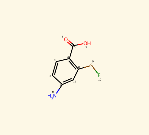 Nc1ccc(C(=O)O)c(SF)c1